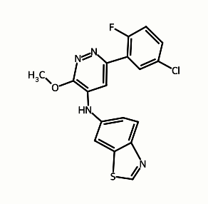 COc1nnc(-c2cc(Cl)ccc2F)cc1Nc1ccc2ncsc2c1